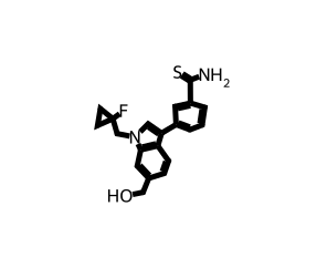 NC(=S)c1cccc(-c2cn(CC3(F)CC3)c3cc(CO)ccc23)c1